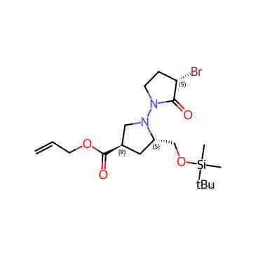 C=CCOC(=O)[C@@H]1C[C@@H](CO[Si](C)(C)C(C)(C)C)N(N2CC[C@H](Br)C2=O)C1